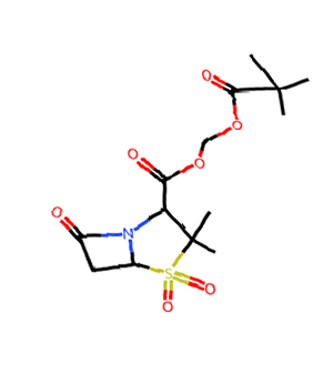 CC(C)(C)C(=O)OCOC(=O)C1N2C(=O)CC2S(=O)(=O)C1(C)C